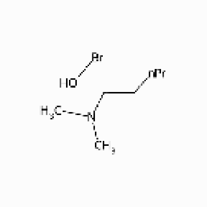 CCCCCN(C)C.OBr